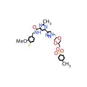 COc1cc(CNC(=O)c2cc(-c3cn(C[C@H]4COC(COS(=O)(=O)c5ccc(C)cc5)CO4)nn3)nc(C)n2)ccc1F